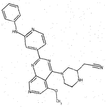 COc1cncc2nc(-c3ccnc(Nc4ccccc4)c3)nc(N3CCNC(CC#N)C3)c12